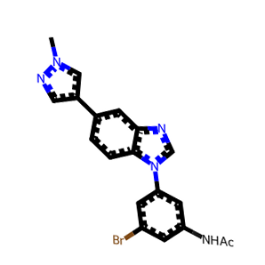 CC(=O)Nc1cc(Br)cc(-n2cnc3cc(-c4cnn(C)c4)ccc32)c1